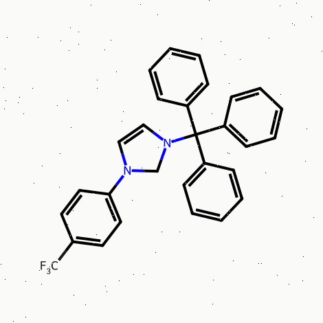 FC(F)(F)c1ccc(N2C=CN(C(c3ccccc3)(c3ccccc3)c3ccccc3)C2)cc1